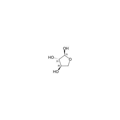 O[C@H]1[C@H](O)CO[C@@H]1O